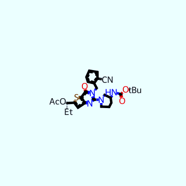 CC[C@H](OC(C)=O)c1cc2nc(N3CCCC(NC(=O)OC(C)(C)C)C3)n(Cc3ccccc3C#N)c(=O)c2s1